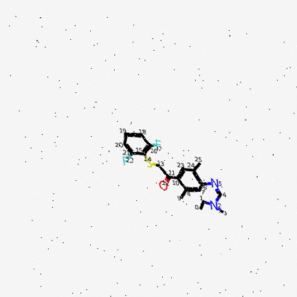 CCN(C)/C=N\c1cc(C)c(C(=O)CSc2c(F)cccc2F)cc1C